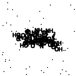 CC[C@H](C)[C@H](NC(=O)[C@H](Cc1c[nH]cn1)NC(=O)[C@H](CC(N)=O)NC(=O)CNC(=O)CNC(=O)[C@H](CO)NC(=O)[C@H](CCC(=O)O)NC(=O)[C@@H]1CCCN1C(=O)[C@@H](N)CCCCN)C(=O)N[C@@H](C)C(=O)O